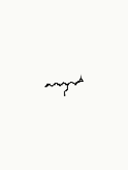 C=CCCCCC(CC=C)CC=C1CC1C